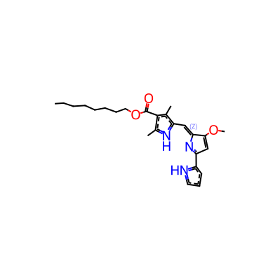 CCCCCCCCOC(=O)c1c(C)[nH]c(/C=C2\N=C(c3ccc[nH]3)C=C2OC)c1C